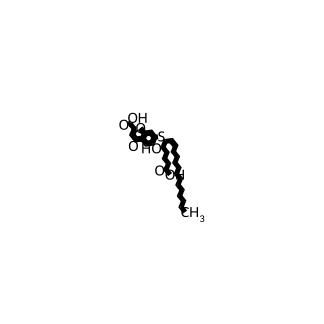 CCCCCCCCCCCC/C=C\[C@@H](Sc1ccc2c(=O)cc(C(=O)O)oc2c1)[C@@H](O)CCCC(=O)O